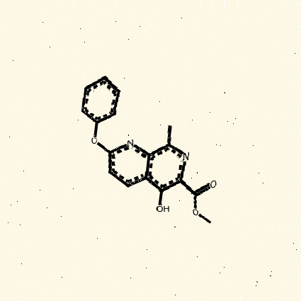 COC(=O)c1nc(C)c2nc(Oc3ccccc3)ccc2c1O